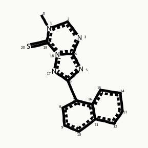 Cn1cnc2nc(-c3cccc4ccccc34)nn2c1=S